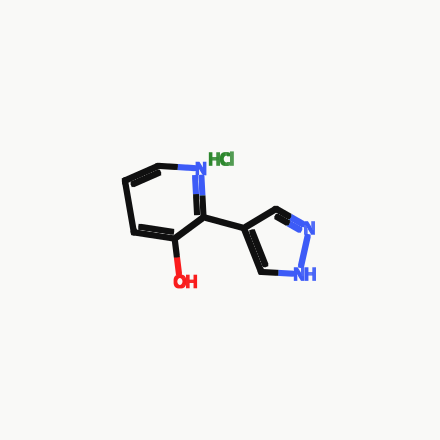 Cl.Oc1cccnc1-c1cn[nH]c1